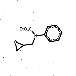 CCOC(=O)N(CC1CO1)c1ccccc1